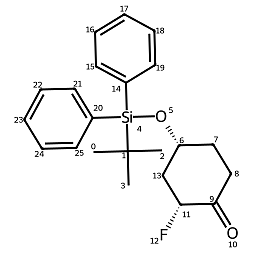 CC(C)(C)[Si](O[C@@H]1CCC(=O)[C@H](F)C1)(c1ccccc1)c1ccccc1